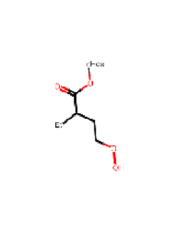 CCCCCCOC(=O)C(CC)CCOO